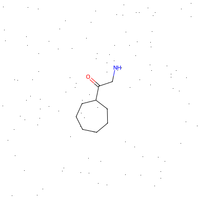 [NH]CC(=O)C1CCCCCC1